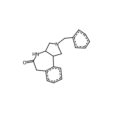 O=C1Cc2ccccc2C2CN(Cc3ccccc3)CC2N1